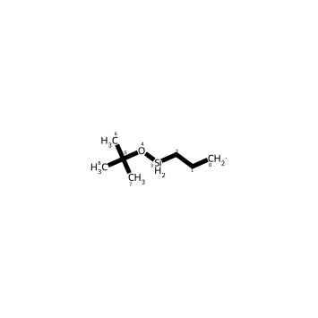 [CH2]CC[SiH2]OC(C)(C)C